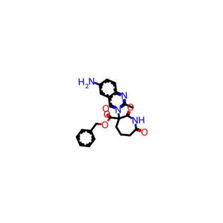 Cc1nc2ccc(N)cc2c(=O)n1C1(C(=O)OCc2ccccc2)CCCC(=O)NC1=O